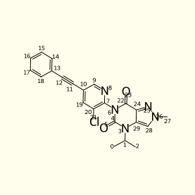 CC(C)n1c(=O)n(-c2ncc(C#Cc3ccccc3)cc2Cl)c(=O)c2nn(C)cc21